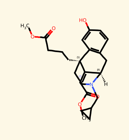 COC(=O)/C=C1\[C@H]2Cc3ccc(O)cc3[C@]1(CCCC(=O)OC)CCN2CC1CC1